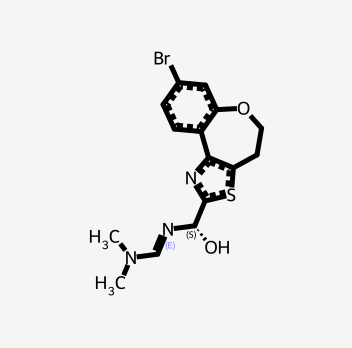 CN(C)/C=N/[C@@H](O)c1nc2c(s1)CCOc1cc(Br)ccc1-2